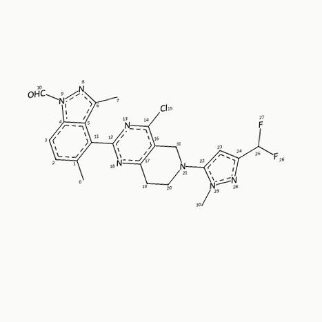 Cc1ccc2c(c(C)nn2C=O)c1-c1nc(Cl)c2c(n1)CCN(c1cc(C(F)F)nn1C)C2